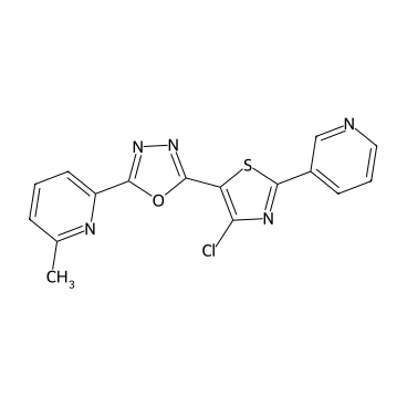 Cc1cccc(-c2nnc(-c3sc(-c4cccnc4)nc3Cl)o2)n1